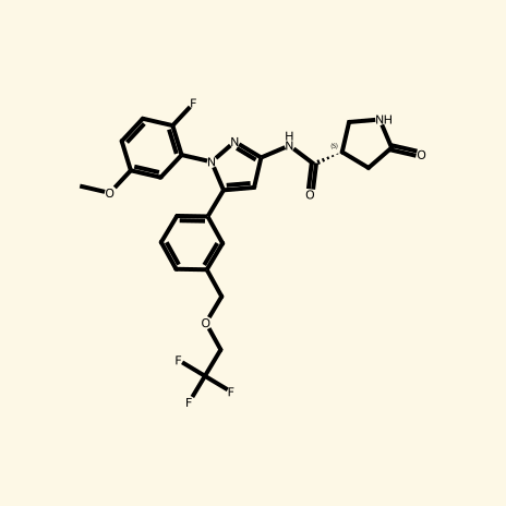 COc1ccc(F)c(-n2nc(NC(=O)[C@@H]3CNC(=O)C3)cc2-c2cccc(COCC(F)(F)F)c2)c1